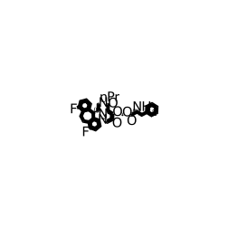 CCCN1C[C@H](C2c3cccc(F)c3CCc3c(F)cccc32)n2ncc(=O)c(OCOC(=O)[C@H](N)Cc3ccccc3)c2C1=O